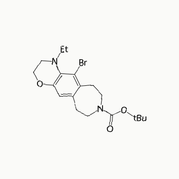 CCN1CCOc2cc3c(c(Br)c21)CCN(C(=O)OC(C)(C)C)CC3